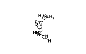 COc1cc2c(cc1OCCCN(C)C)Cc1c(-c3ccc(C#N)nc3)n[nH]c1-2